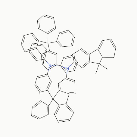 CC1(C)c2ccccc2-c2ccc(N(c3ccc4c(c3)C(c3ccccc3)(c3ccccc3)c3ccccc3-4)c3ccc4c(c3)C3(c5ccccc5-c5ccc(N(c6ccccc6)c6ccccc6)cc53)c3ccccc3-4)cc21